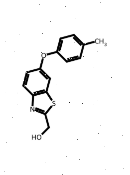 Cc1ccc(Oc2ccc3nc(CO)sc3c2)cc1